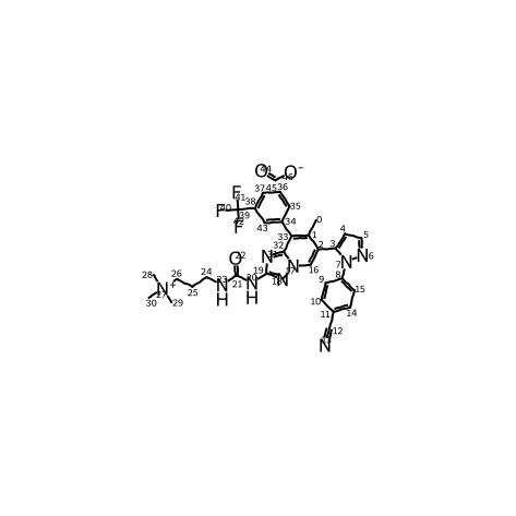 Cc1c(-c2ccnn2-c2ccc(C#N)cc2)cn2nc(NC(=O)NCCC[N+](C)(C)C)nc2c1-c1cccc(C(F)(F)F)c1.O=C[O-]